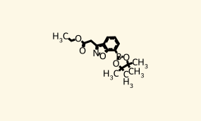 CCOC(=O)Cc1noc2c(B3OC(C)(C)C(C)(C)O3)cccc12